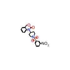 O=C1OCc2ccccc2N1C1CCN(S(=O)(=O)c2cccc([N+](=O)[O-])c2)CC1